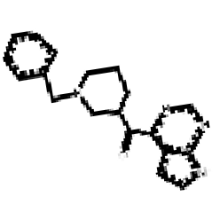 O=C(c1ncnc2[nH]ccc12)C1CCCN(Cc2ccccc2)C1